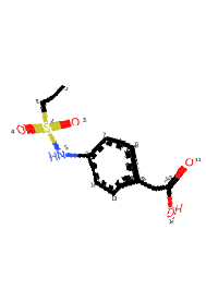 CCS(=O)(=O)Nc1ccc(C(=O)O)cc1